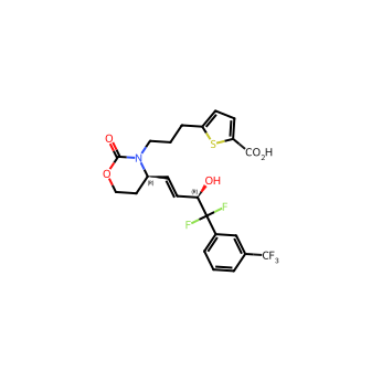 O=C(O)c1ccc(CCCN2C(=O)OCC[C@@H]2C=C[C@@H](O)C(F)(F)c2cccc(C(F)(F)F)c2)s1